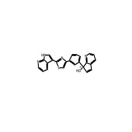 O[C@]1(c2cccc(-c3csc(-c4c[nH]c5ncccc45)n3)c2)C=Cc2cccnc21